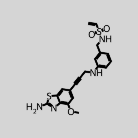 C=CS(=O)(=O)NCc1cccc(NCC#Cc2cc(OC)c3nc(N)sc3c2)c1